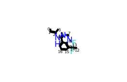 C/C=C(\C)Nc1ncnc2c(C(C)(F)F)cccc12